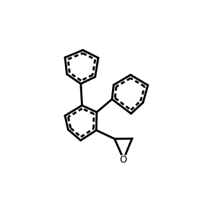 c1ccc(-c2cccc(C3CO3)c2-c2ccccc2)cc1